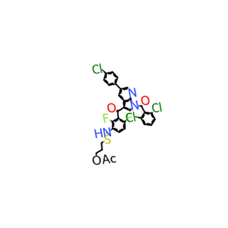 CC(=O)OCCCSNc1ccc(F)c(C(=O)c2cn(C(=O)c3c(Cl)cccc3Cl)c3ncc(-c4ccc(Cl)cc4)cc23)c1F